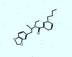 CCCCN1C=CCC(C(=O)N(CC)C(C)Cc2ccc3c(c2)OCO3)=C1